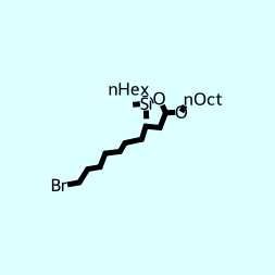 CCCCCCCCOC(CCCCCCCCCBr)O[Si](C)(C)CCCCCC